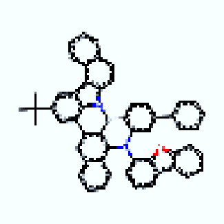 CC(C)(C)c1cc2c3c(c1)c1c4ccccc4ccc1n3B1c3ccc(-c4ccccc4)cc3N(c3cccc4c3oc3ccccc34)c3c1c-2cc1ccccc31